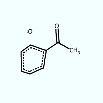 CC(=O)c1ccccc1.[O]